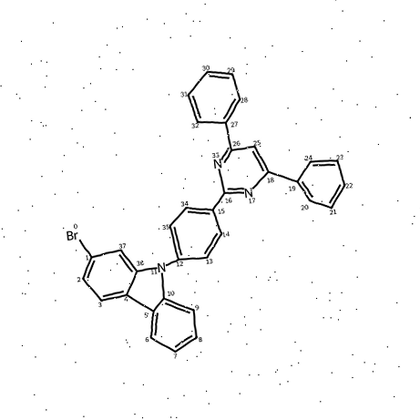 Brc1ccc2c3ccccc3n(-c3ccc(-c4nc(-c5ccccc5)cc(-c5ccccc5)n4)cc3)c2c1